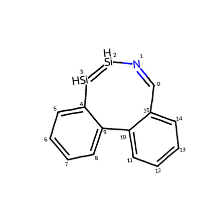 C1=N[SiH]=[SiH]c2ccccc2-c2ccccc21